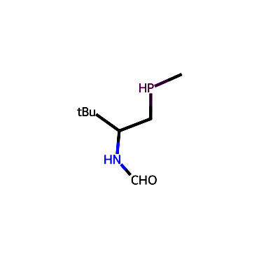 CPCC(NC=O)C(C)(C)C